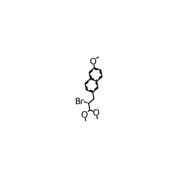 COc1ccc2cc(C[C@H](Br)C(OC)OC)ccc2c1